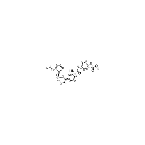 CCOc1ccccc1O[C@@H]1CCCN(c2cccc(NC(=O)Cc3ccc(CC(=O)OC)cc3)n2)C1